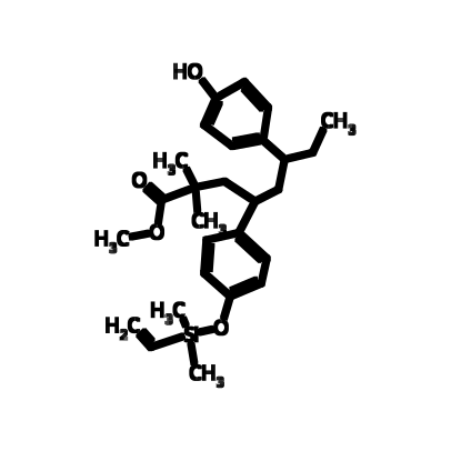 C=C[Si](C)(C)Oc1ccc(C(CC(CC)c2ccc(O)cc2)CC(C)(C)C(=O)OC)cc1